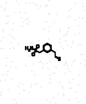 NS(=O)(=O)Cc1cccc(CC=S)c1